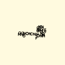 CN(c1nccnc1CNc1nc(Nc2ccc(CNC3CCN(c4ccc(N5CCC(=O)NC5=O)cc4)CC3)c(F)c2)ncc1C(F)(F)F)S(C)(=O)=O